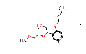 CCCCOc1ccc(F)cc1C(CO)OCCOC